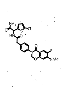 CNc1cc2c(cc1F)C(=O)N(c1ccc(CC(=O)NC(C(N)=O)c3ccc(Cl)s3)cc1)CO2